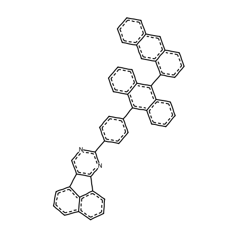 c1ccc2cc3c(-c4c5ccccc5c(-c5ccc(-c6ncc7c(n6)-c6cccc8cccc-7c68)cc5)c5ccccc45)cccc3cc2c1